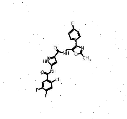 Cc1nc(-c2ccc(F)cc2)c(CNC(=O)c2cc(NC(=O)c3cc(F)c(F)cc3Cl)[nH]n2)o1